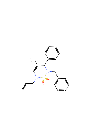 C=CCN1C=C(C(=O)OCC)C(c2ccccc2)N(Cc2ccccc2)S1(=O)=O